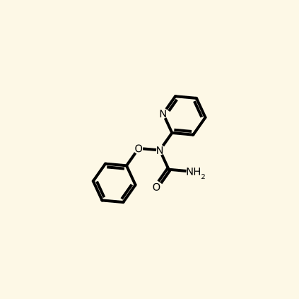 NC(=O)N(Oc1ccccc1)c1ccccn1